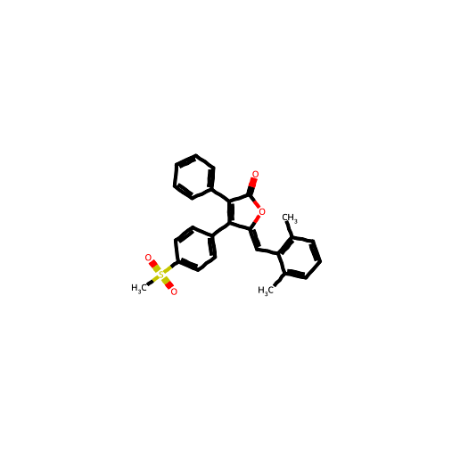 Cc1cccc(C)c1/C=C1\OC(=O)C(c2ccccc2)=C1c1ccc(S(C)(=O)=O)cc1